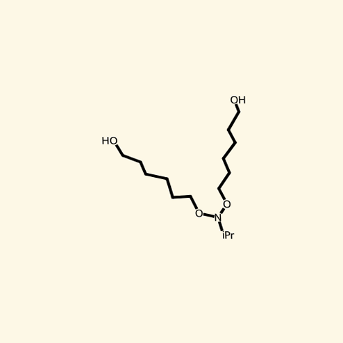 CC(C)N(OCCCCCCO)OCCCCCCO